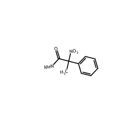 CNC(=O)C(C)(c1ccccc1)[N+](=O)[O-]